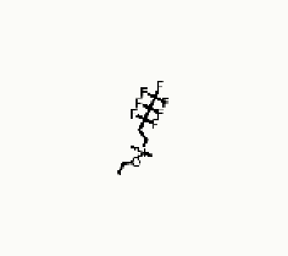 CCO[Si](C)(C)CCC(F)(F)C(F)(F)C(F)(F)F